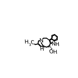 CCC1=C[C@H]2C[C@@H](CO)c3[nH]c4ccccc4c3CCN(C1)C2